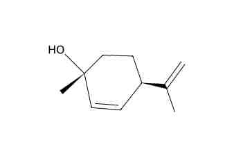 C=C(C)[C@H]1C=C[C@](C)(O)CC1